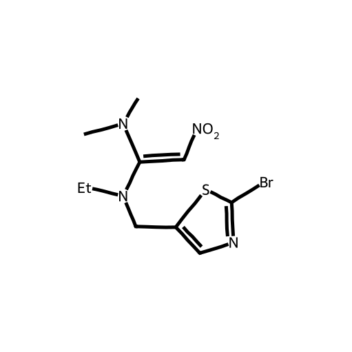 CCN(Cc1cnc(Br)s1)C(=C[N+](=O)[O-])N(C)C